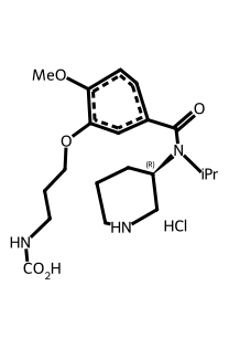 COc1ccc(C(=O)N(C(C)C)[C@@H]2CCCNC2)cc1OCCCNC(=O)O.Cl